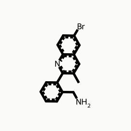 Cc1cc2cc(Br)ccc2nc1-c1ccccc1CN